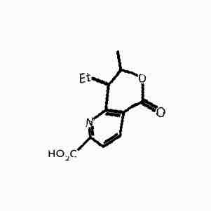 CCC1c2nc(C(=O)O)ccc2C(=O)OC1C